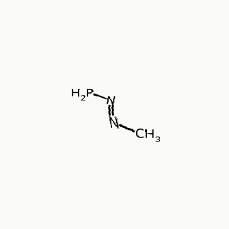 CN=NP